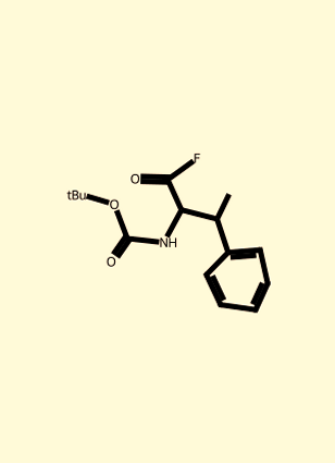 CC(c1ccccc1)C(NC(=O)OC(C)(C)C)C(=O)F